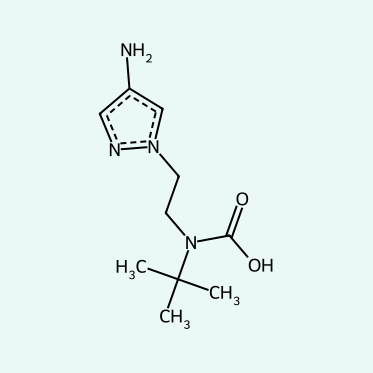 CC(C)(C)N(CCn1cc(N)cn1)C(=O)O